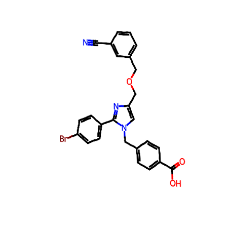 N#Cc1cccc(COCc2cn(Cc3ccc(C(=O)O)cc3)c(-c3ccc(Br)cc3)n2)c1